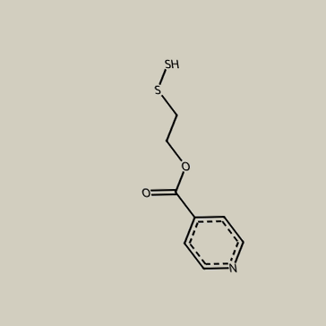 O=C(OCCSS)c1ccncc1